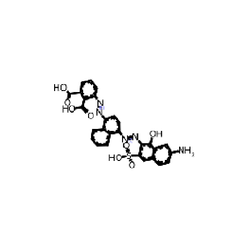 Nc1ccc2cc(S(=O)(=O)O)c(/N=N/c3ccc(/N=N/c4cccc(C(=O)O)c4C(=O)O)c4ccccc34)c(O)c2c1